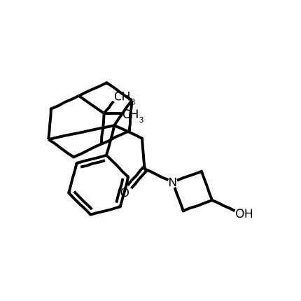 CC1(C)C2CC3CC1CC(C2)C3(CC(=O)N1CC(O)C1)c1ccccc1